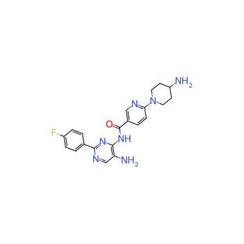 Nc1cnc(-c2ccc(F)cc2)nc1NC(=O)c1ccc(N2CCC(N)CC2)nc1